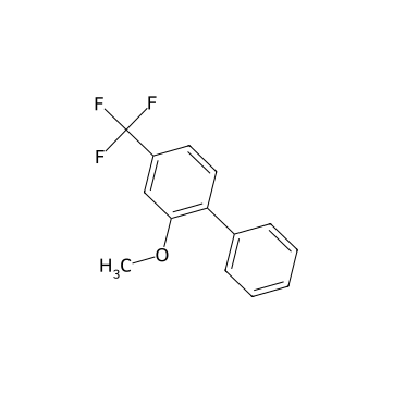 COc1cc(C(F)(F)F)ccc1-c1ccccc1